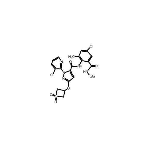 Cc1cc(Cl)cc(C(=O)NC(C)(C)C)c1NC(=O)c1cc(OC2CS(=O)(=O)C2)nn1-c1ncccc1Cl